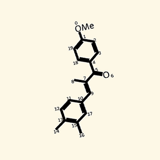 COc1ccc(C(=O)/C(C)=C/c2ccc(C)c(C)c2)cc1